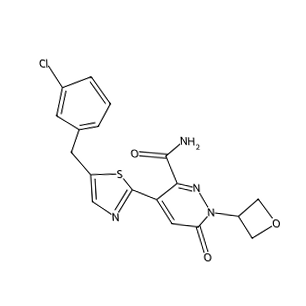 NC(=O)c1nn(C2COC2)c(=O)cc1-c1ncc(Cc2cccc(Cl)c2)s1